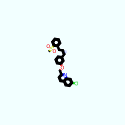 CS(=O)(=O)c1ccccc1C/C=C\c1cccc(OCc2ccc3ccc(Cl)cc3n2)c1